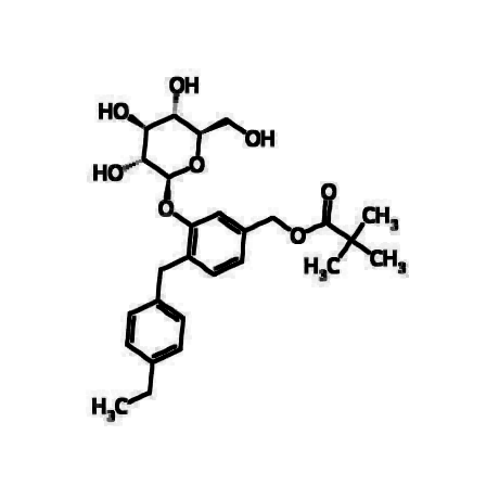 CCc1ccc(Cc2ccc(COC(=O)C(C)(C)C)cc2O[C@@H]2O[C@H](CO)[C@@H](O)[C@H](O)[C@H]2O)cc1